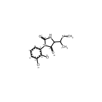 CSC(C)C1NC(=O)N(c2cccc(Cl)c2Cl)C1=O